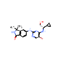 CC1(C)NC(=O)c2ccc(Nc3ncc(Br)c(N[C@H](CO)C4CC4)n3)cc21